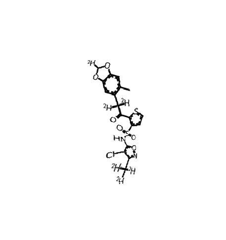 [2H]C1Oc2cc(C)c(C([2H])([2H])C(=O)c3sccc3S(=O)(=O)Nc3onc(C([2H])([2H])[2H])c3Cl)cc2O1